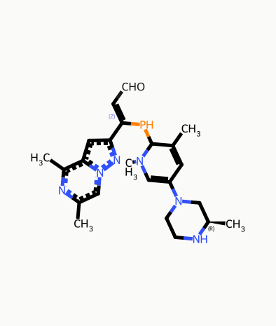 CC1=CC(N2CCN[C@H](C)C2)=CN(C)C1P/C(=C\C=O)c1cc2c(C)nc(C)cn2n1